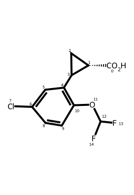 O=C(O)[C@H]1CC1c1cc(Cl)ccc1OC(F)F